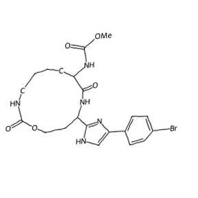 COC(=O)NC1CCCCNC(=O)OCCC(c2nc(-c3ccc(Br)cc3)c[nH]2)NC1=O